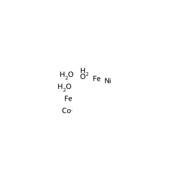 O.O.O.[Co].[Fe].[Fe].[Ni]